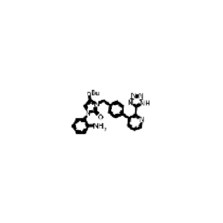 CCCCc1cn(-c2ccccc2N)c(=O)n1Cc1ccc(-c2cccnc2-c2nnn[nH]2)cc1